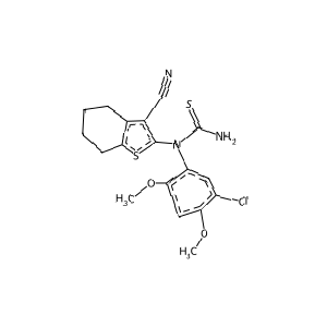 COc1cc(OC)c(N(C(N)=S)c2sc3c(c2C#N)CCCC3)cc1Cl